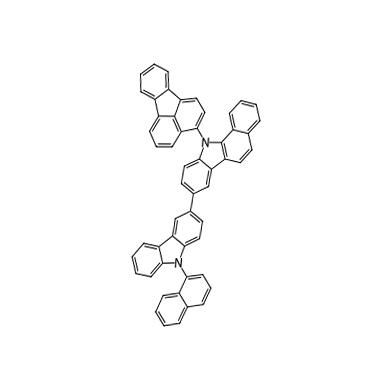 c1ccc2c(c1)-c1cccc3c(-n4c5ccc(-c6ccc7c(c6)c6ccccc6n7-c6cccc7ccccc67)cc5c5ccc6ccccc6c54)ccc-2c13